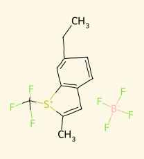 CCc1ccc2cc(C)[s+](C(F)(F)F)c2c1.F[B-](F)(F)F